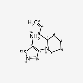 C=CCC1CCCCN1c1cnsc1N